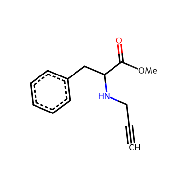 C#CCNC(Cc1ccccc1)C(=O)OC